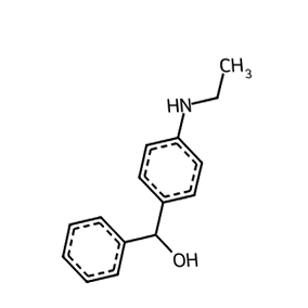 CCNc1ccc(C(O)c2ccccc2)cc1